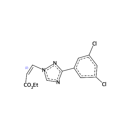 CCOC(=O)/C=C\n1cnc(-c2cc(Cl)cc(Cl)c2)n1